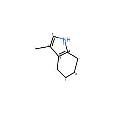 Cc1c[nH]c2c1CCCC2